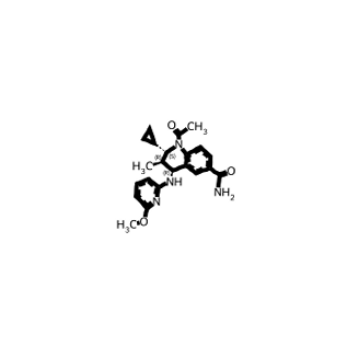 COc1cccc(N[C@H]2c3cc(C(N)=O)ccc3N(C(C)=O)[C@@H](C3CC3)[C@@H]2C)n1